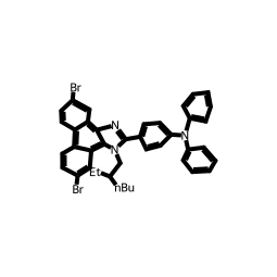 CCCCC(CC)Cn1c(-c2ccc(N(c3ccccc3)c3ccccc3)cc2)nc2c3cc(Br)ccc3c3ccc(Br)cc3c21